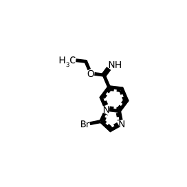 CCOC(=N)c1ccc2ncc(Br)n2c1